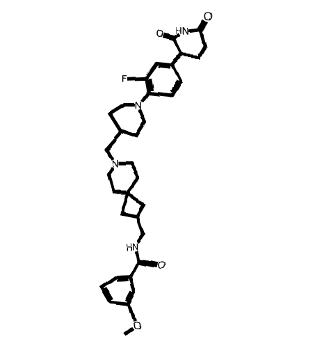 COc1cccc(C(=O)NCC2CC3(CCN(CC4CCN(c5ccc(C6CCC(=O)NC6=O)cc5F)CC4)CC3)C2)c1